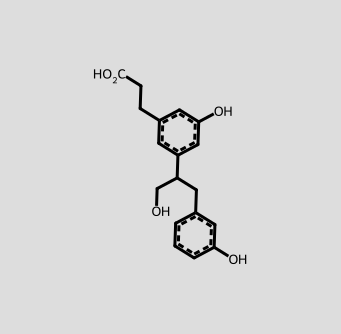 O=C(O)CCc1cc(O)cc(C(CO)Cc2cccc(O)c2)c1